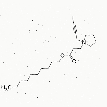 CCCCCCCCCCOC(=O)CC[N+]1(CC#CI)CCCC1